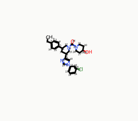 CCc1ccc(C2CC(c3cn(-c4cccc(Cl)c4)cn3)CN(C(=O)N3CCC(O)CC3)C2)cc1